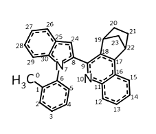 Cc1ccccc1-n1c(-c2nc3ccccc3c3c2C2CCC3C2)cc2ccccc21